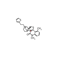 Cc1cccc(N(C)C(=O)O[C@H]2C[N+]3(CCc4cccs4)CCC2CC3)c1-c1cccs1